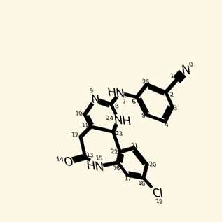 N#Cc1cccc(NC2=NC=C3CC(=O)Nc4cc(Cl)ccc4C3N2)c1